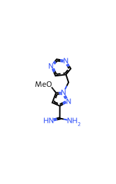 COc1cc(C(=N)N)nn1Cc1cncnc1